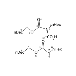 CCCCCCCCCCCOC(=O)N(CCCCCC)C(=O)O.CCCCCCCCCCCOC(=O)NCCCCCC